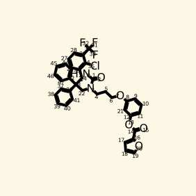 NC(=O)N(CCCOc1cccc(OC(=O)c2ccco2)c1)CC(Cc1cccc(C(F)(F)F)c1Cl)(c1ccccc1)c1ccccc1